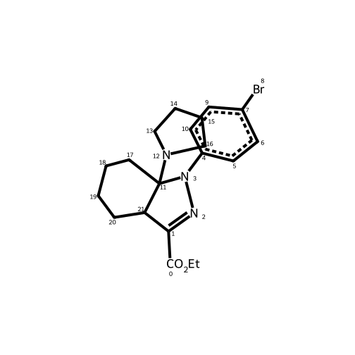 CCOC(=O)C1=NN(c2ccc(Br)cc2)C2(N3CCCC3)CCCCC12